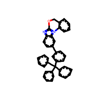 c1ccc(C(c2ccccc2)(c2ccccc2)c2cccc(-c3ccc4nc5n(c4c3)-c3ccccc3CO5)c2)cc1